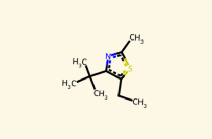 CCc1sc(C)nc1C(C)(C)C